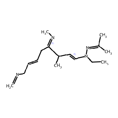 C=NCC=CC/C(=N\C)C(C)/C=C/N(CC)N=C(C)C